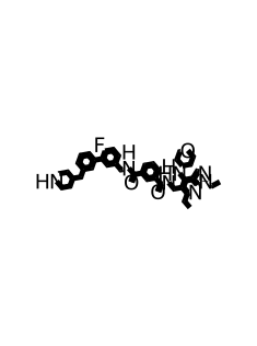 CCc1nc2c(cnn2CC)c(NC2CCOCC2)c1CNC(=O)c1cccc(C(=O)NCc2ccc(F)c(-c3cccc(CC4CCNCC4)c3)c2)c1